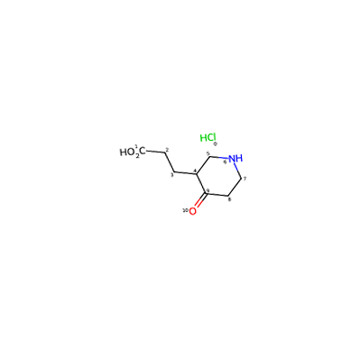 Cl.O=C(O)CCC1CNCCC1=O